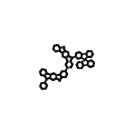 c1ccc(-n2c3ccccc3c3cc4c(cc32)oc2ccc(-c3ccc5c(c3)c3cc6c(cc3n5-c3ccc5c(c3)C3(c7ccccc7-c7ccccc73)c3ccccc3-5)oc3ccccc36)cc24)cc1